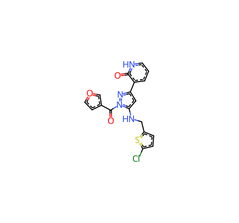 O=C(c1ccoc1)n1nc(-c2ccc[nH]c2=O)cc1NCc1ccc(Cl)s1